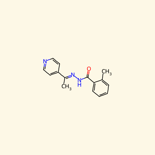 C/C(=N\NC(=O)c1ccccc1C)c1ccncc1